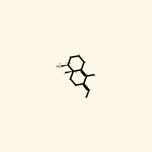 C/C=C1\CC[C@@]2(C)C(=C1C)CCC[C@@H]2O